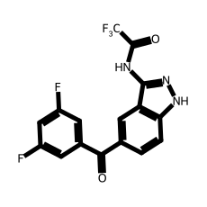 O=C(c1cc(F)cc(F)c1)c1ccc2[nH]nc(NC(=O)C(F)(F)F)c2c1